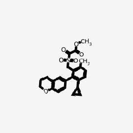 COC(=O)C(=O)S(=O)(=O)Cc1c(C)ccc(C2CC2)c1-c1ccc2c(c1)CCCO2